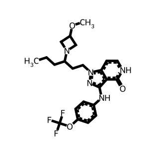 CCCC(CCn1nc(Nc2ccc(OC(F)(F)F)cc2)c2c(=O)[nH]ccc21)N1CC(OC)C1